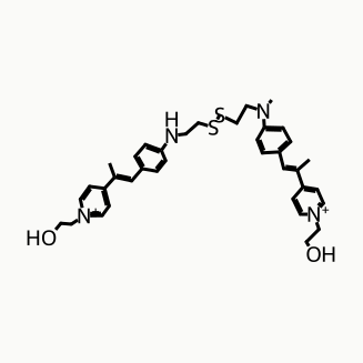 C/C(=C\c1ccc(NCCSSCCN(C)c2ccc(/C=C(\C)c3cc[n+](CCO)cc3)cc2)cc1)c1cc[n+](CCO)cc1